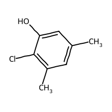 Cc1cc(C)c(Cl)c(O)c1